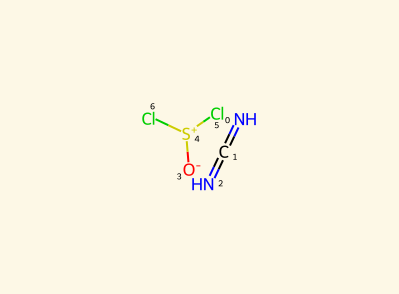 N=C=N.[O-][S+](Cl)Cl